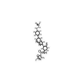 Cc1nc(C)c(C(=O)Nc2ccc(F)c(-c3cn4cc(-c5ccc(CCN(C)C)cc5)cnc4n3)c2)o1